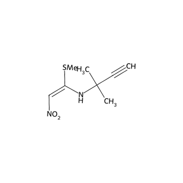 C#CC(C)(C)NC(=C[N+](=O)[O-])SC